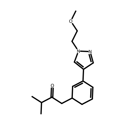 COCCn1cc(C2=CC(CC(=O)C(C)C)CC=C2)cn1